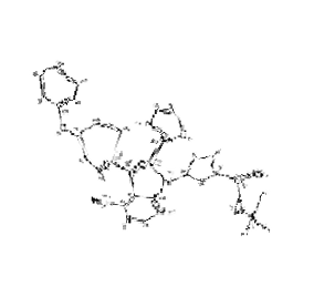 CC(C)(C)OC(=O)N1CCC(n2c(-c3ncco3)c(-c3ccc(Oc4ccccc4)cc3)c3c(N)ncnc32)C1